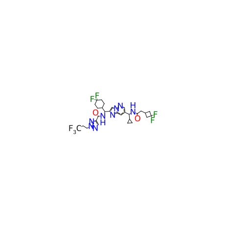 O=C(CC1CC(F)(F)C1)NC(c1cnn2cc([C@@H](NC(=O)c3cnn(CCC(F)(F)F)n3)C3CCC(F)(F)CC3)nc2c1)C1CC1